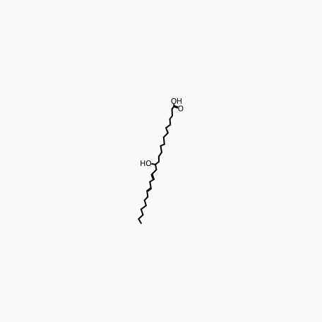 CCCCCCCC=CCC=CCC(O)CCCCCCCCCCCCC(=O)O